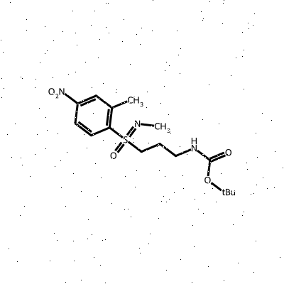 CN=S(=O)(CCCNC(=O)OC(C)(C)C)c1ccc([N+](=O)[O-])cc1C